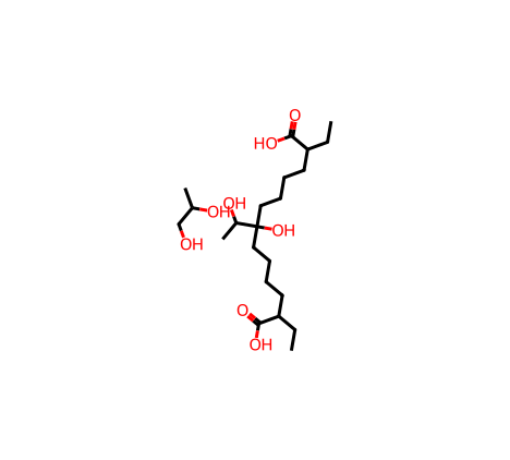 CC(O)CO.CCC(CCCCC(O)(CCCCC(CC)C(=O)O)C(C)O)C(=O)O